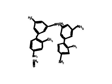 C=O.Cc1cc(N)cc(-c2ccc(N)cc2C)c1.Cc1cc(N)cc(-c2ccc(N)cc2C)c1